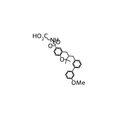 COc1cccc(-c2cccc(CC3Cc4cc(S(=O)(=O)NCC(=O)O)ccc4OC3(C)C)c2)c1